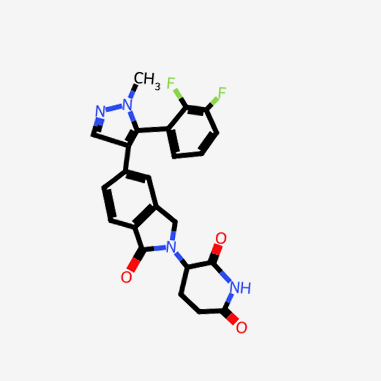 Cn1ncc(-c2ccc3c(c2)CN(C2CCC(=O)NC2=O)C3=O)c1-c1cccc(F)c1F